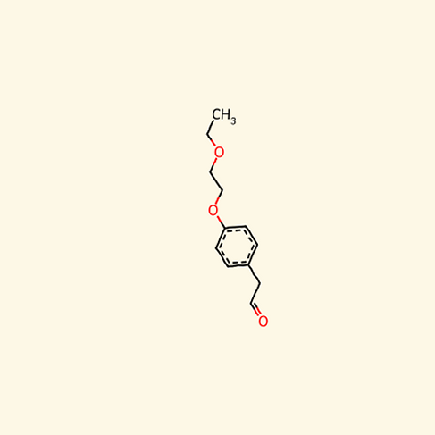 CCOCCOc1ccc(CC=O)cc1